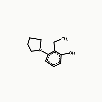 CCc1c(O)cccc1N1CCCC1